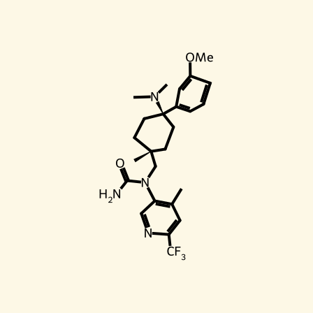 COc1cccc([C@]2(N(C)C)CC[C@](C)(CN(C(N)=O)c3cnc(C(F)(F)F)cc3C)CC2)c1